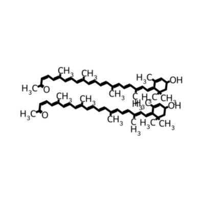 CC(=O)\C=C/C=C(C)/C=C/C=C(C)/C=C/C=C/C(C)=C/C=C/C(C)=C/C=C1\C(C)=CC(O)CC1(C)C.CC(=O)\C=C/C=C(C)/C=C/C=C(C)/C=C/C=C/C(C)=C/C=C/C(C)=C/C=C1\C(C)=CC(O)CC1(C)C